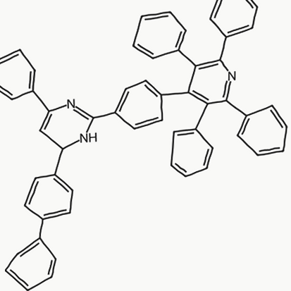 C1=C(c2ccccc2)N=C(c2ccc(-c3c(-c4ccccc4)c(-c4ccccc4)nc(-c4ccccc4)c3-c3ccccc3)cc2)NC1c1ccc(-c2ccccc2)cc1